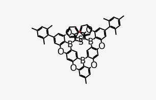 Cc1cc(C)c(-c2cc3c4c(c2)Oc2c(sc5ccccc25)B4c2cc4c(cc2O3)Oc2cc(C)cc3c2B4c2cc4c(cc2O3)Oc2cc(-c3c(C)cc(C)cc3C)cc3c2B4c2sc4ccccc4c2O3)c(C)c1